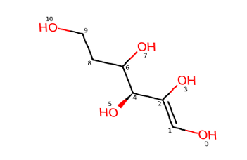 O/C=C(\O)[C@@H](O)C(O)CCO